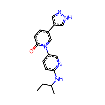 CCC(C)Nc1ccc(-n2cc(-c3cn[nH]c3)ccc2=O)cn1